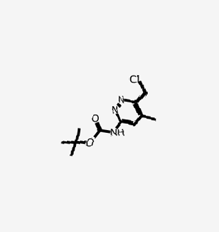 Cc1cc(NC(=O)OC(C)(C)C)nnc1CCl